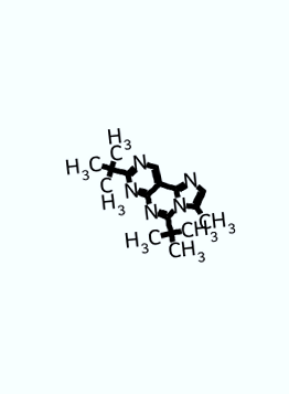 Cc1cnc2c3cnc(C(C)(C)C)nc3nc(C(C)(C)C)n12